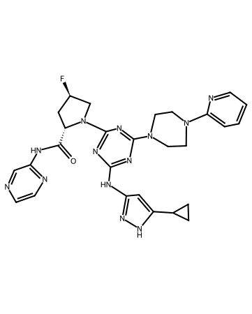 O=C(Nc1cnccn1)[C@@H]1C[C@@H](F)CN1c1nc(Nc2cc(C3CC3)[nH]n2)nc(N2CCN(c3ccccn3)CC2)n1